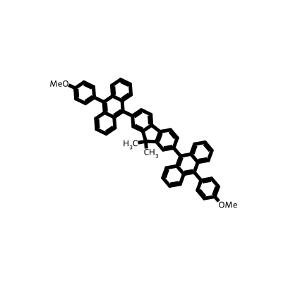 COc1ccc(-c2c3ccccc3c(-c3ccc4c(c3)C(C)(C)c3cc(-c5c6ccccc6c(-c6ccc(OC)cc6)c6ccccc56)ccc3-4)c3ccccc23)cc1